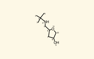 CC(C)(C)NCC1CC(O)CO1